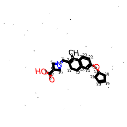 CC1=C(CN2CC(C(=O)O)C2)CCc2cc(OC3CC=CC3)ccc21